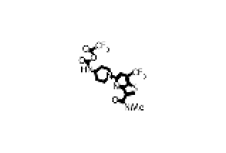 CNC(=O)c1csc2c(C(F)(F)F)cc(N3CCC(NC(=O)OC(=O)C(F)(F)F)CC3)nc12